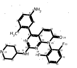 Cc1ccc(N)cc1-c1nc(NC2CCNCC2)nc2c1ccc(=O)n2-c1c(F)cccc1F